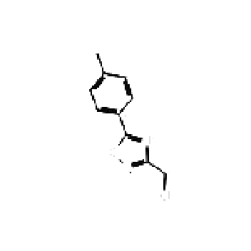 Cc1ccc(-c2nc(CCl)no2)cc1